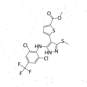 COC(=O)c1ccc(-c2c(SC)n[nH]c2Nc2c(Cl)cc(C(F)(F)F)cc2Cl)s1